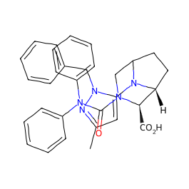 Cc1cc(N2C3CC[C@@H]2[C@@H](C(=O)O)N(C(=O)N(c2ccccc2)c2ccccc2)C3)n(Cc2ccccc2)n1